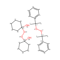 CC(C)(OOC(C)(C)c1ccccc1)c1ccccc1.OC1(OOC2(O)CCCCC2)CCCCC1